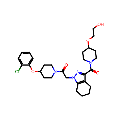 O=C(Cn1nc(C(=O)N2CCC(OCCO)CC2)c2c1CCCC2)N1CCC(Oc2ccccc2Cl)CC1